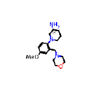 COc1[c]cc(N2CCC[C@@H](N)C2)c(CN2CCOCC2)c1